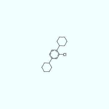 Clc1cc(C2CCCCC2)ccc1C1CCCCC1